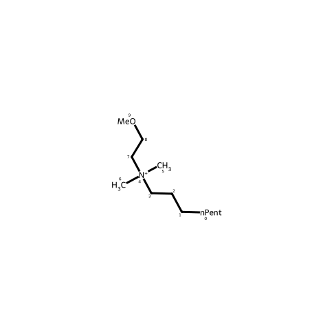 CCCCCCCC[N+](C)(C)CCOC